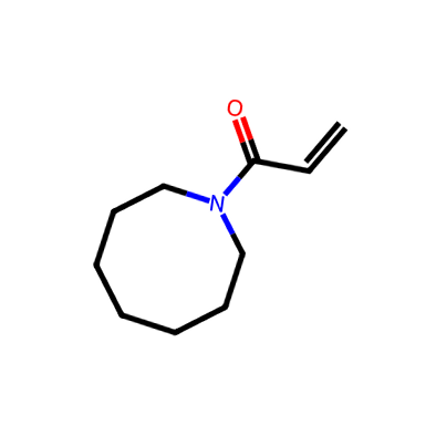 C=CC(=O)N1CCCCCCC1